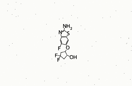 Nc1nc2cc(F)c(OC3CC(F)(F)CC3O)cc2s1